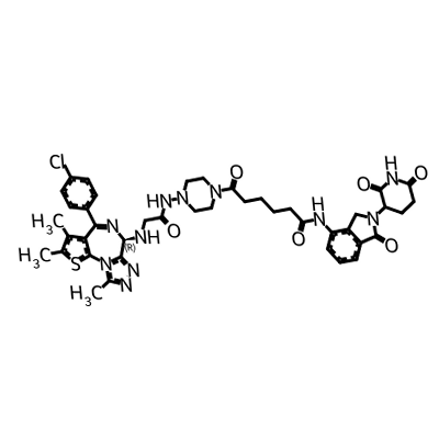 Cc1sc2c(c1C)C(c1ccc(Cl)cc1)=N[C@@H](NCC(=O)NN1CCN(C(=O)CCCCC(=O)Nc3cccc4c3CN(C3CCC(=O)NC3=O)C4=O)CC1)c1nnc(C)n1-2